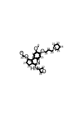 COc1cc2c3c(c(NC4COC4)nc2cc1OCCCN1CCCC1)CCC3OC=O